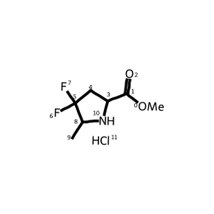 COC(=O)C1CC(F)(F)C(C)N1.Cl